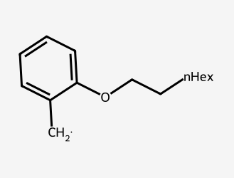 [CH2]c1ccccc1OCCCCCCCC